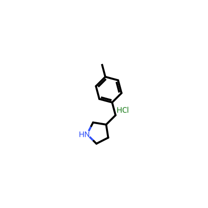 Cc1ccc(CC2CCNC2)cc1.Cl